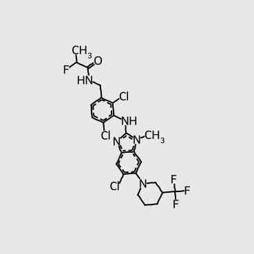 CC(F)C(=O)NCc1ccc(Cl)c(Nc2nc3cc(Cl)c(N4CCCC(C(F)(F)F)C4)cc3n2C)c1Cl